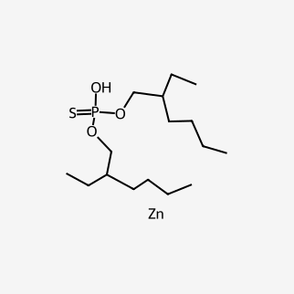 CCCCC(CC)COP(O)(=S)OCC(CC)CCCC.[Zn]